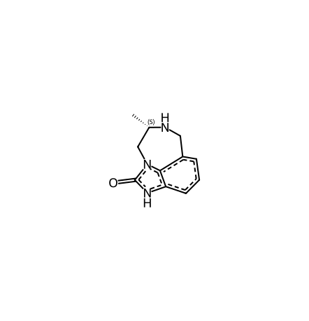 C[C@H]1Cn2c(=O)[nH]c3cccc(c32)CN1